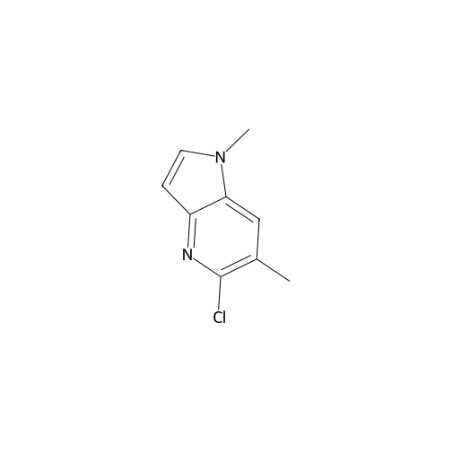 Cc1cc2c(ccn2C)nc1Cl